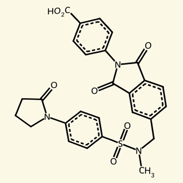 CN(Cc1ccc2c(c1)C(=O)N(c1ccc(C(=O)O)cc1)C2=O)S(=O)(=O)c1ccc(N2CCCC2=O)cc1